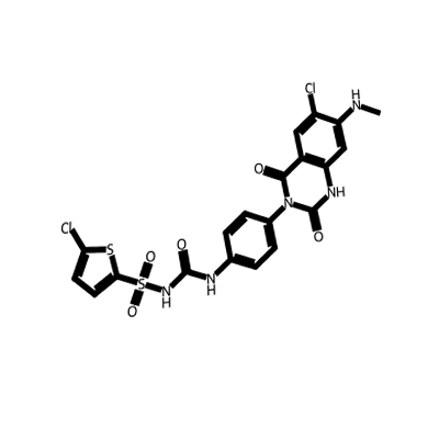 CNc1cc2[nH]c(=O)n(-c3ccc(NC(=O)NS(=O)(=O)c4ccc(Cl)s4)cc3)c(=O)c2cc1Cl